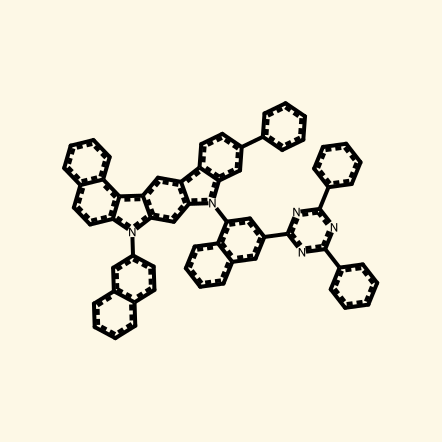 c1ccc(-c2ccc3c4cc5c6c7ccccc7ccc6n(-c6ccc7ccccc7c6)c5cc4n(-c4cc(-c5nc(-c6ccccc6)nc(-c6ccccc6)n5)cc5ccccc45)c3c2)cc1